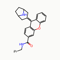 CC(C)CNC(=O)c1ccc2c(c1)Oc1ccccc1C2=C1CC2CCC(C1)N2